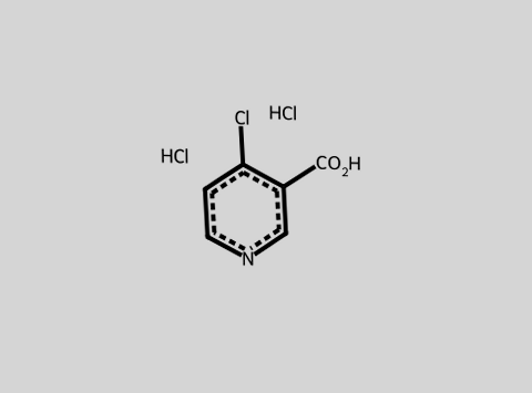 Cl.Cl.O=C(O)c1cnccc1Cl